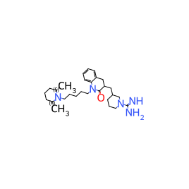 C[C@@H]1CCC[C@H](C)N1CCCCCN1C(=O)C(CC2CCCN(C(=N)N)C2)Cc2ccccc21